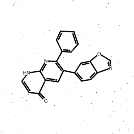 O=c1cc[nH]c2nc(-c3ccccc3)c(-c3ccc4ncoc4c3)cc12